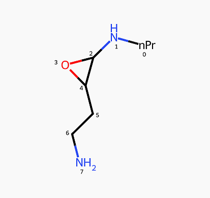 CCCNC1OC1CCN